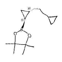 CC1(C)OB([C@H]2C[C@@H]2CC2CC2)OC1(C)C